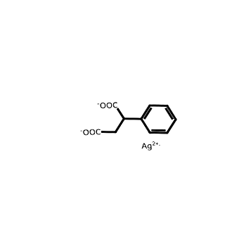 O=C([O-])CC(C(=O)[O-])c1ccccc1.[Ag+2]